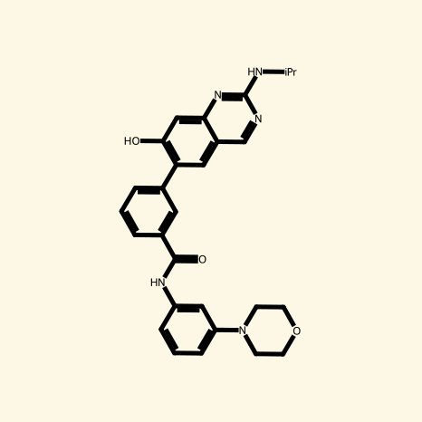 CC(C)Nc1ncc2cc(-c3cccc(C(=O)Nc4cccc(N5CCOCC5)c4)c3)c(O)cc2n1